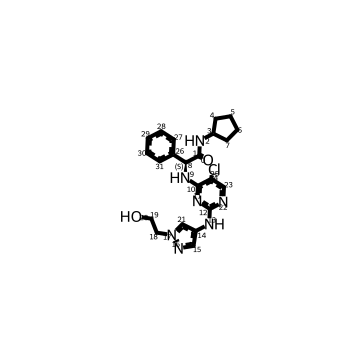 O=C(NC1CCCC1)[C@@H](Nc1nc(Nc2cnn(CCO)c2)ncc1Cl)c1ccccc1